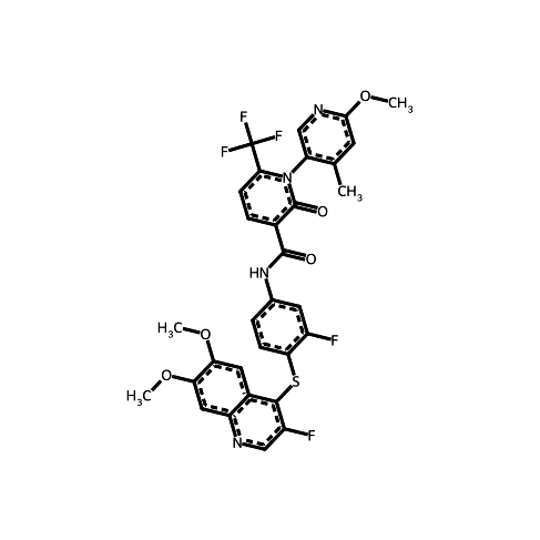 COc1cc(C)c(-n2c(C(F)(F)F)ccc(C(=O)Nc3ccc(Sc4c(F)cnc5cc(OC)c(OC)cc45)c(F)c3)c2=O)cn1